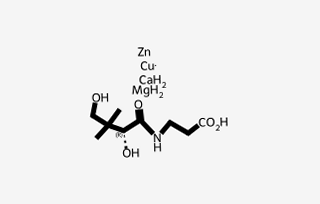 CC(C)(CO)[C@@H](O)C(=O)NCCC(=O)O.[CaH2].[Cu].[MgH2].[Zn]